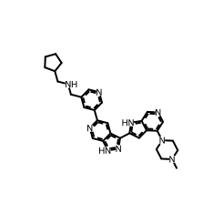 CN1CCN(c2cncc3[nH]c(-c4n[nH]c5cnc(-c6cncc(CNCC7CCCC7)c6)cc45)cc23)CC1